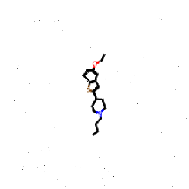 CCCCN1CCC(c2cc3cc(OCC)ccc3s2)CC1